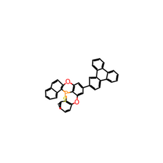 S=P12c3c(cc(-c4ccc5c6ccccc6c6ccccc6c5c4)cc3Oc3ccc4ccccc4c31)Oc1ccc3ccccc3c12